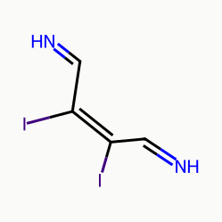 N=C/C(I)=C(/I)C=N